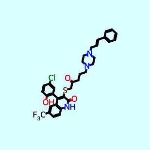 O=C(CCCN1CCN(CC=Cc2ccccc2)CC1)CSc1c(-c2cc(Cl)ccc2O)c2cc(C(F)(F)F)ccc2[nH]c1=O